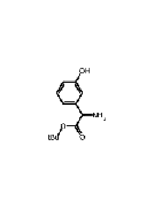 CC(C)(C)OC(=O)C(N)c1cccc(O)c1